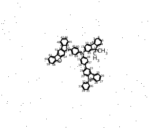 CC1(C)c2ccccc2-c2ccc(N(c3ccc(-c4ccc5c(c4)c4ccccc4n5-c4ccccc4)cc3)c3ccc(-n4c5ccccc5c5cc6c(cc54)oc4ccccc46)cc3)cc21